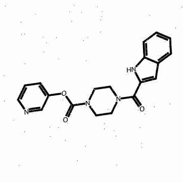 O=C(Oc1cccnc1)N1CCN(C(=O)c2cc3ccccc3[nH]2)CC1